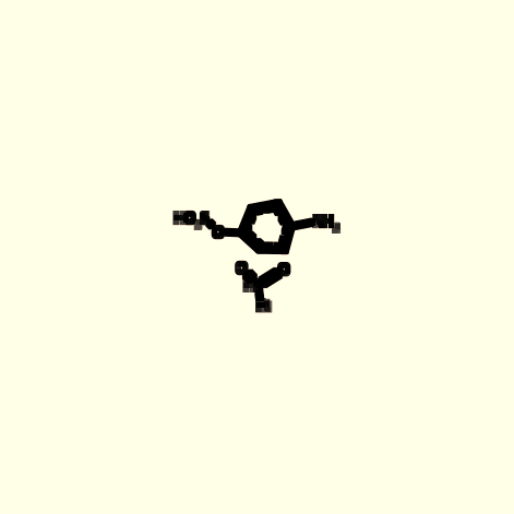 CC[SH](=O)=O.Nc1ccc(OS(=O)(=O)O)cc1